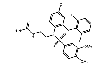 COc1ccc(S(=O)(=O)N(CCNC(N)=O)c2ccc(Cl)cc2Cc2c(F)cccc2F)cc1OC